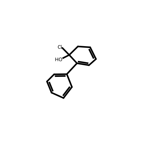 OC1(Cl)CC=CC=C1c1ccccc1